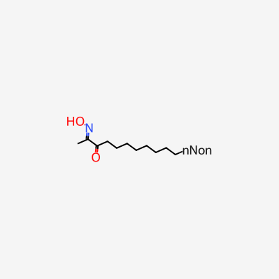 CCCCCCCCCCCCCCCCCC(=O)C(C)=NO